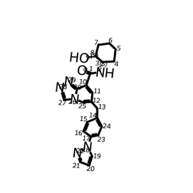 O=C(N[C@H]1CCCC[C@@H]1O)c1cc(Cc2ccc(-n3cccn3)cc2)cn2cnnc12